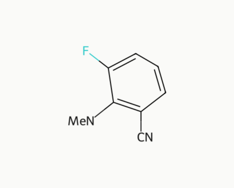 CNc1c(F)cccc1C#N